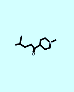 CC(C)CCC(=O)C1CCN(C)CC1